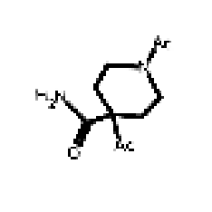 CC(=O)N1CCC(C(C)=O)(C(N)=O)CC1